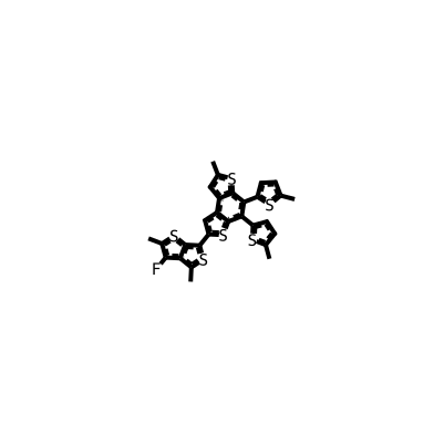 Cc1ccc(-c2c(-c3ccc(C)s3)c3sc(-c4sc(C)c5c(F)c(C)sc45)cc3c3cc(C)sc23)s1